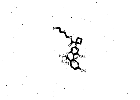 CC1=CC[C@@H]2[C@@H](C1)c1c(O)cc(C3(C(=O)OCCCCBr)CCC3)cc1OC2(C)C